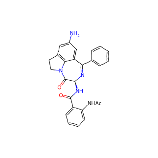 CC(=O)Nc1ccccc1C(=O)N[C@@H]1N=C(c2ccccc2)c2cc(N)cc3c2N(CC3)C1=O